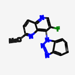 COc1ccc2ncc(F)c(-n3nnc4ccccc43)c2n1